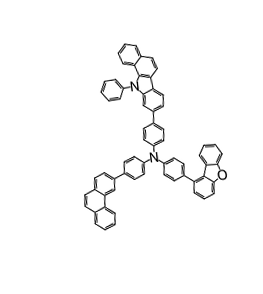 c1ccc(-n2c3cc(-c4ccc(N(c5ccc(-c6ccc7ccc8ccccc8c7c6)cc5)c5ccc(-c6cccc7oc8ccccc8c67)cc5)cc4)ccc3c3ccc4ccccc4c32)cc1